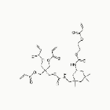 C=CC(=O)OCCOC(=O)NC1CC(C)(C)CC(C)(CNC(=O)OCC(COC(=O)C=C)(COC(=O)C=C)COC(=O)C=C)C1